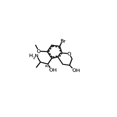 COc1cc(Br)c2c(c1[C@@H](O)C(C)N)CC(O)CO2